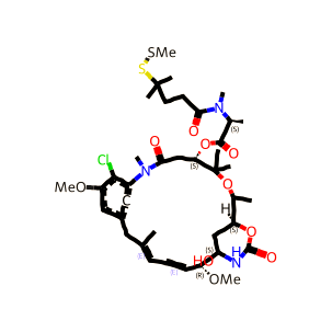 COc1cc2cc(c1Cl)N(C)C(=O)C[C@H](OC(=O)[C@H](C)N(C)C(=O)CCC(C)(C)SSC)C(C)(C)OC(C)[C@@H]1C[C@@](O)(NC(=O)O1)[C@H](OC)/C=C/C=C(\C)C2